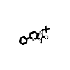 Cn1c(=O)n(CC(C)(C)C)c2ccc(-c3ccccc3)nc21